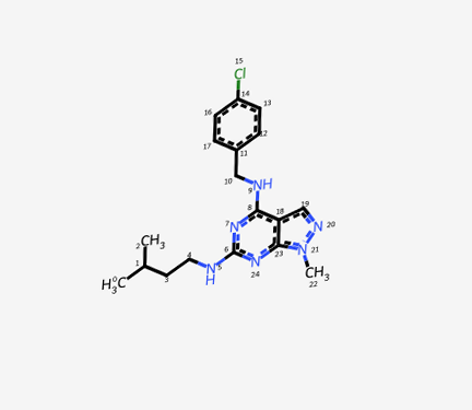 CC(C)CCNc1nc(NCc2ccc(Cl)cc2)c2cnn(C)c2n1